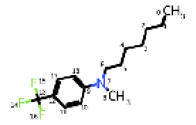 CCCCCCCN(C)c1ccc(C(F)(F)F)cc1